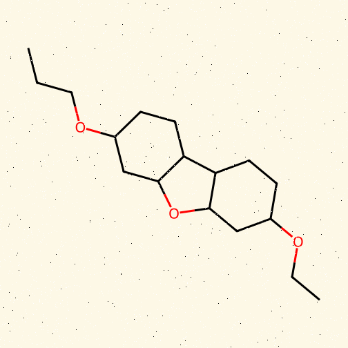 CCCOC1CCC2C(C1)OC1CC(OCC)CCC12